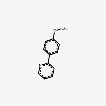 FC(F)(F)Oc1ccc(-c2ncccn2)cc1